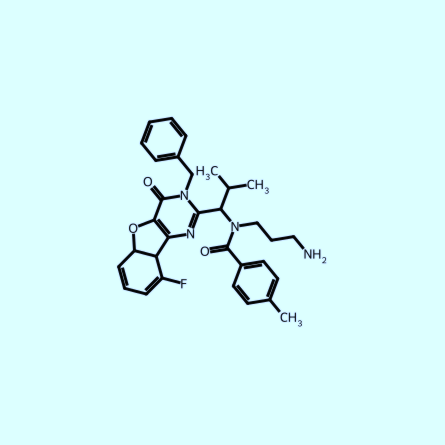 Cc1ccc(C(=O)N(CCCN)C(c2nc3c(c(=O)n2Cc2ccccc2)OC2C=CC=C(F)C32)C(C)C)cc1